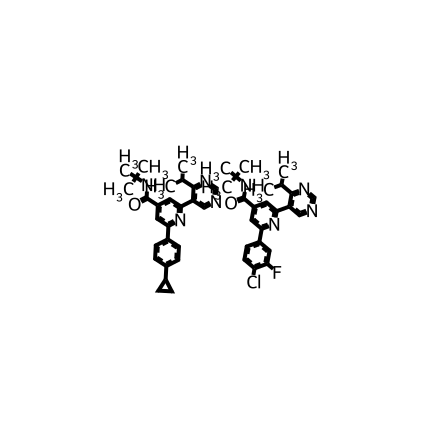 CC(C)c1ncncc1-c1cc(C(=O)NC(C)(C)C)cc(-c2ccc(C3CC3)cc2)n1.CC(C)c1ncncc1-c1cc(C(=O)NC(C)(C)C)cc(-c2ccc(Cl)c(F)c2)n1